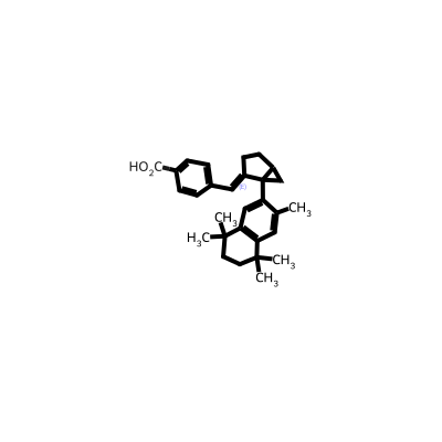 Cc1cc2c(cc1C13CC1CC/C3=C\c1ccc(C(=O)O)cc1)C(C)(C)CCC2(C)C